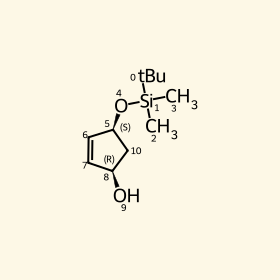 CC(C)(C)[Si](C)(C)O[C@@H]1C=C[C@H](O)C1